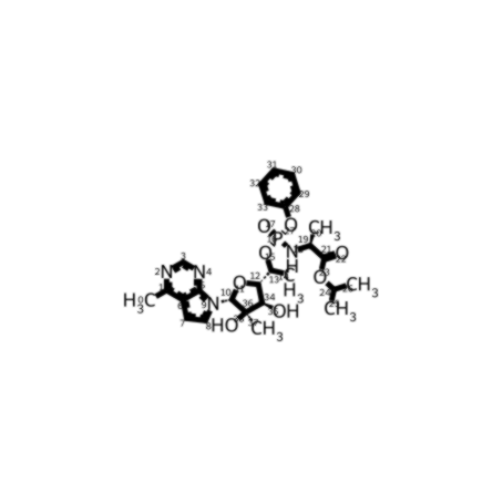 Cc1ncnc2c1ccn2[C@@H]1O[C@H](C(C)OP(=O)(N[C@@H](C)C(=O)OC(C)C)Oc2ccccc2)[C@@H](O)[C@@]1(C)O